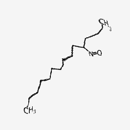 CCCCCCCCCCC(CCC)N=O